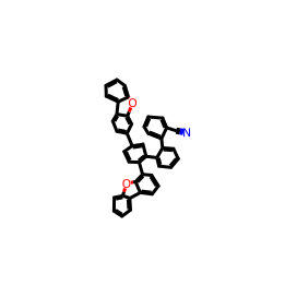 N#Cc1ccccc1-c1ccccc1-c1cc(-c2ccc3c(c2)oc2ccccc23)ccc1-c1cccc2c1oc1ccccc12